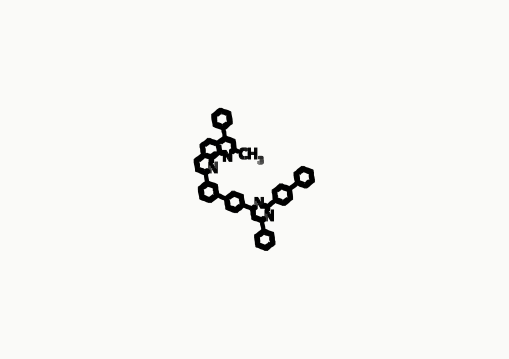 Cc1cc(-c2ccccc2)c2ccc3ccc(-c4cccc(-c5ccc(-c6cc(-c7ccccc7)nc(-c7ccc(-c8ccccc8)cc7)n6)cc5)c4)nc3c2n1